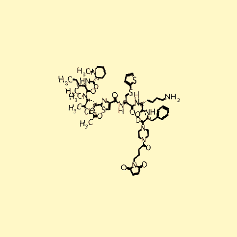 CC[C@H](C)[C@H](NC(=O)[C@H]1CCCCN1C)C(=O)N(C)[C@H](C[C@@H](OC(C)=O)c1nc(C(=O)N[C@@H](CSc2cccs2)C(=O)N[C@H](CCCCN)C(=O)N[C@@H](Cc2ccccc2)C(=O)N2CCN(C(=O)CCCN3C(=O)C=CC3=O)CC2)cs1)C(C)C